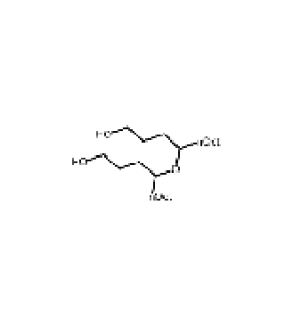 CCCCCCCCC(CCCO)OC(CCCO)CCCCCCCC